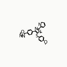 COc1ccc(Sc2c(-c3ccc(-c4nnco4)cc3)nc(-c3ccccn3)n2C)cc1